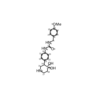 COc1ccc(CNC(=O)Nc2ccc(C3CNCCS3(O)O)cc2)cc1